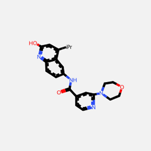 CC(C)c1cc(O)nc2ccc(NC(=O)c3ccnc(N4CCOCC4)c3)cc12